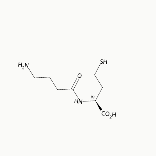 NCCCC(=O)N[C@@H](CCS)C(=O)O